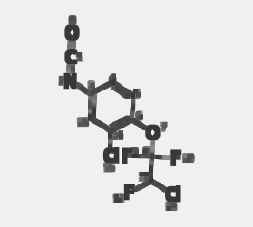 O=C=Nc1ccc(OC(F)(F)C(F)Cl)c(Cl)c1